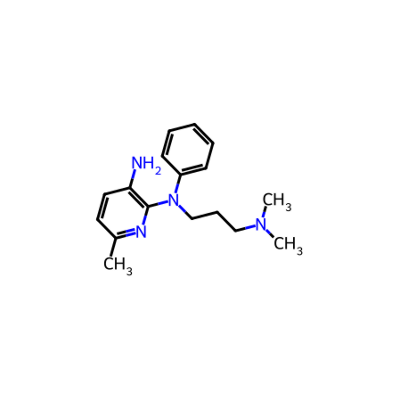 Cc1ccc(N)c(N(CCCN(C)C)c2ccccc2)n1